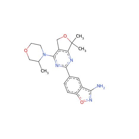 CC1COCCN1c1nc(-c2ccc3onc(N)c3c2)nc2c1COC2(C)C